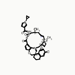 CO[C@H]1/C=C/C[C@H](C)C[S@@](=O)(NC(=O)c2ccn(C3CC3)c2)=NC(=O)c2ccc3c(c2)N(C[C@@H]2CC[C@H]21)C[C@@]1(CCCc2cc(Cl)ccc21)CO3